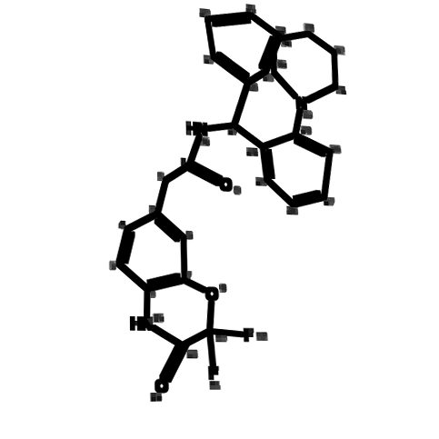 O=C(Cc1ccc2c(c1)OC(F)(F)C(=O)N2)NC(c1ccccc1)c1ccccc1N1CCCCC1